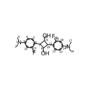 CN(C)c1ccc(C2C(O)C(c3ccc(N(C)C)cc3F)C2O)c(F)c1